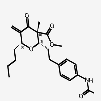 C=C1C(=O)[C@](C)(C(=O)OC)[C@H](CCc2ccc(NC(C)=O)cc2)O[C@@H]1CCCC